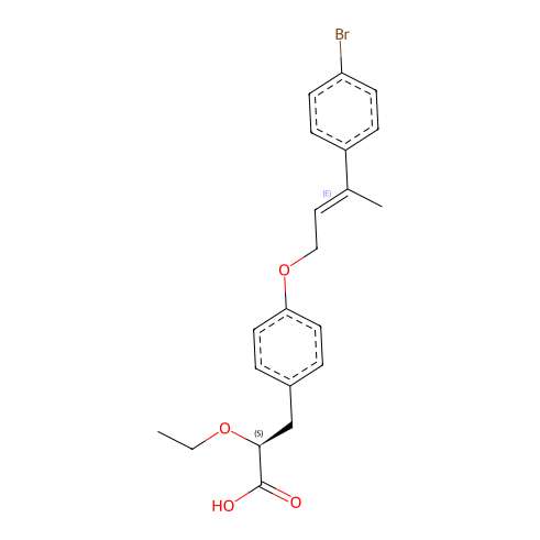 CCO[C@@H](Cc1ccc(OC/C=C(\C)c2ccc(Br)cc2)cc1)C(=O)O